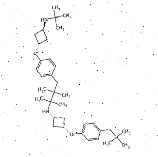 CC(C)(C)Cc1ccc(O[C@H]2C[C@@H](NC(C)(C)C(C)(C)Cc3ccc(O[C@H]4C[C@H](NC(C)(C)C)C4)cc3)C2)cc1